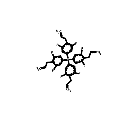 C=CCc1c(F)cc([B-](c2cc(F)c(CC=C)c(F)c2)(c2cc(F)c(CC=C)c(F)c2)c2cc(F)c(CC=C)c(F)c2)cc1F